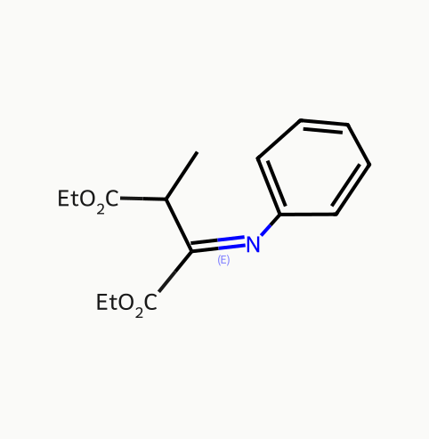 CCOC(=O)/C(=N/c1ccccc1)C(C)C(=O)OCC